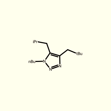 CCCCn1nnc(CC(C)(C)C)c1CC(C)C